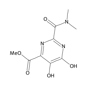 COC(=O)c1nc(C(=O)N(C)C)nc(O)c1O